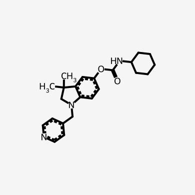 CC1(C)CN(Cc2ccncc2)c2ccc(OC(=O)NC3CCCCC3)cc21